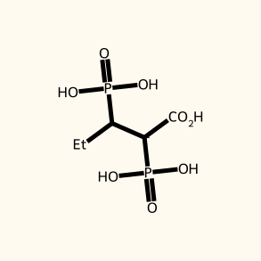 [CH2]CC([C](C(=O)O)P(=O)(O)O)P(=O)(O)O